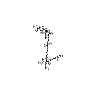 CC(C)C(NC(=O)CCCCCCC(=O)NCCCCC(NC(=O)NC(CCC(=O)O)C(=O)O)C(=O)O)C(=O)NCCCCNC=O